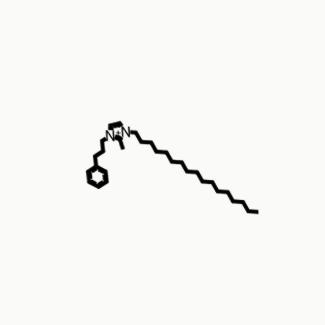 CCCCCCCCCCCCCCCCCn1cc[n+](CCCc2ccccc2)c1C